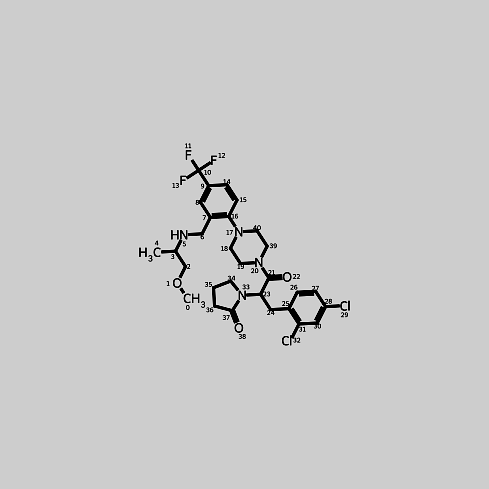 COCC(C)NCc1cc(C(F)(F)F)ccc1N1CCN(C(=O)C(Cc2ccc(Cl)cc2Cl)N2CCCC2=O)CC1